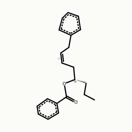 CCC[C@@H](C/C=C\Cc1ccccc1)OC(=O)c1ccccc1